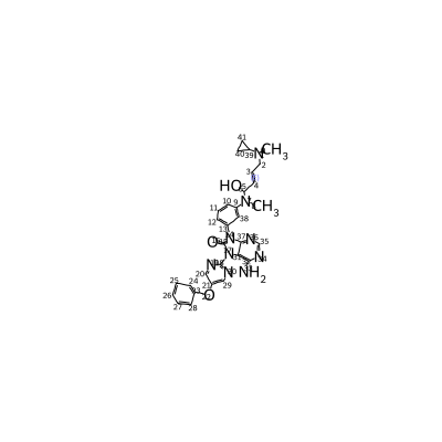 CN(C/C=C/C(O)N(C)c1cccc(-n2c(=O)n(-c3ncc(Oc4ccccc4)cn3)c3c(N)ncnc32)c1)C1CC1